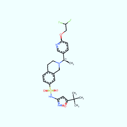 C[C@H](c1ccc(OCC(F)F)nc1)N1CCc2ccc(S(=O)(=O)Nc3cc(C(C)(C)C)on3)cc2C1